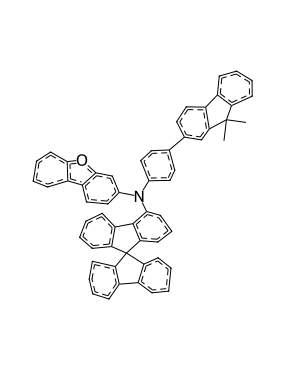 CC1(C)c2ccccc2-c2ccc(-c3ccc(N(c4ccc5c(c4)oc4ccccc45)c4cccc5c4-c4ccccc4C54c5ccccc5-c5ccccc54)cc3)cc21